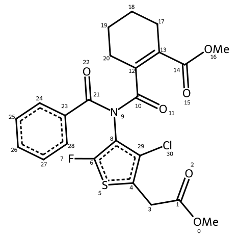 COC(=O)Cc1sc(F)c(N(C(=O)C2=C(C(=O)OC)CCCC2)C(=O)c2ccccc2)c1Cl